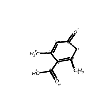 CC1=CC(=O)CC(C)=C1C(=O)O